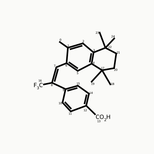 Cc1cc2c(cc1C=C(c1ccc(C(=O)O)cc1)C(F)(F)F)C(C)(C)CCC2(C)C